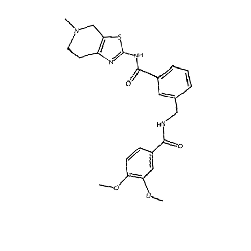 COc1ccc(C(=O)NCc2cccc(C(=O)Nc3nc4c(s3)CN(C)CC4)c2)cc1OC